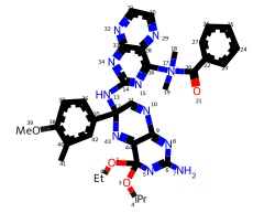 CCOC1(OC(C)C)N=C(N)N=C2N=CC(Nc3nc([N+](C)(C)C(=O)c4ccccc4)c4nccnc4n3)(c3ccc(OC)c(C)c3)N=C21